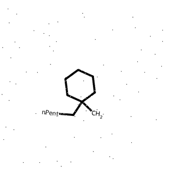 [CH2]C1(CCCCCC)CCCCC1